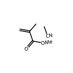 C=C(C)C(=O)OC.CC#N